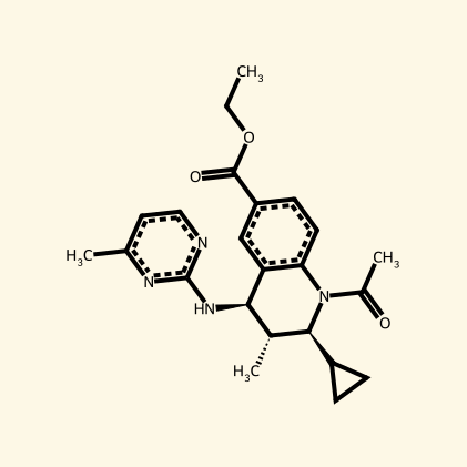 CCOC(=O)c1ccc2c(c1)[C@H](Nc1nccc(C)n1)[C@@H](C)[C@H](C1CC1)N2C(C)=O